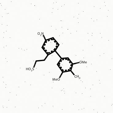 COc1cc(-c2ccc([N+](=O)[O-])cc2CCS(=O)(=O)O)cc(OC)c1C